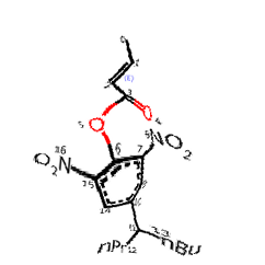 C/C=C/C(=O)Oc1c([N+](=O)[O-])cc(C(CCC)CCCC)cc1[N+](=O)[O-]